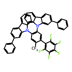 Fc1c(F)c(F)c(-c2cc(-n3c4ccccc4c4ccc(-c5ccccc5)cc43)c(-n3c4ccccc4c4ccc(-c5ccccc5)cc43)cc2C(F)(F)F)c(F)c1F